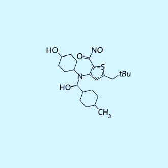 CC1CCC([C@@H](O)N(c2cc(CC(C)(C)C)sc2C(=O)N=O)C2CCC(O)CC2)CC1